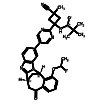 CC(F)Oc1cccc2c1[C@H]1C[C@@H](CC2=O)c2nc3ccc(-c4cnc(C5(N[S+]([O-])C(C)(C)C)CC(C)(C#N)C5)nc4)cc3n21